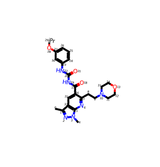 Cc1nn(C)c2nc(CCN3CCOCC3)c(C(=O)NC(=O)Nc3cccc(OC(C)C)c3)cc12